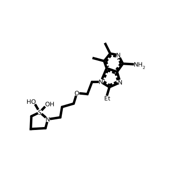 CCc1nc2c(N)nc(C)c(C)c2n1CCOCCCN1CCCS1(O)O